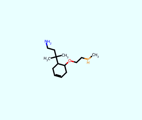 CPCCOC1CC=CCC1C(C)(C)CCN